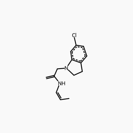 C=C(CN1CCc2ccc(Cl)cc21)N/C=C\C